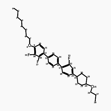 CCCCCCCCOc1ccc(-c2ccc(-c3ccc(C4CCC(OCCC)CC4)cc3F)cc2)c(F)c1F